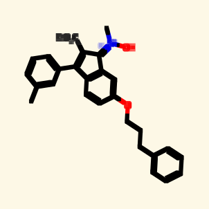 CCOC(=O)C1=C(c2cccc(C)c2)c2ccc(OCCCc3ccccc3)cc2/C1=[N+](/C)O